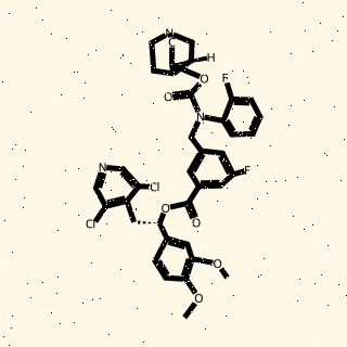 COc1ccc([C@H](Cc2c(Cl)cncc2Cl)OC(=O)c2cc(F)cc(CN(C(=O)O[C@H]3CN4CCC3CC4)c3ccccc3F)c2)cc1OC